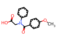 COc1ccc(C(=O)N(CC(=O)O)c2ccccc2)cc1